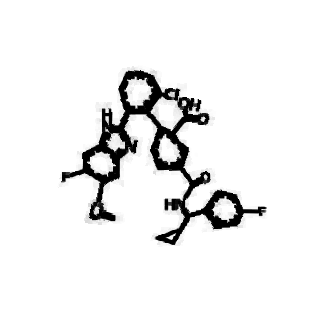 COc1cc2nc(-c3cccc(Cl)c3-c3ccc(C(=O)NC(c4ccc(F)cc4)C4CC4)cc3C(=O)O)[nH]c2cc1F